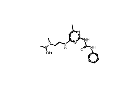 CB(O)N(C)CCNc1cc(C)nc(NC(=O)Nc2ccccc2)n1